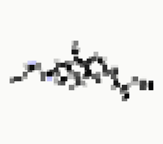 CC/C=C\C=C1/CC2=C(O1)C(C)(C)c1cc(OCC(C)CO)ccc1C2=O